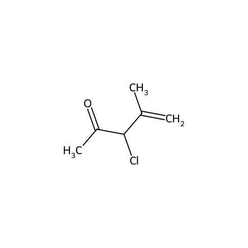 C=C(C)C(Cl)C(C)=O